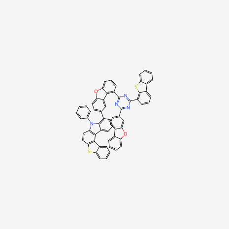 c1ccc(-n2c3ccc4sc5ccccc5c4c3c3cccc(-c4ccc5oc6cccc(-c7nc(-c8ccc9c(c8)oc8ccccc89)nc(-c8cccc9c8sc8ccccc89)n7)c6c5c4)c32)cc1